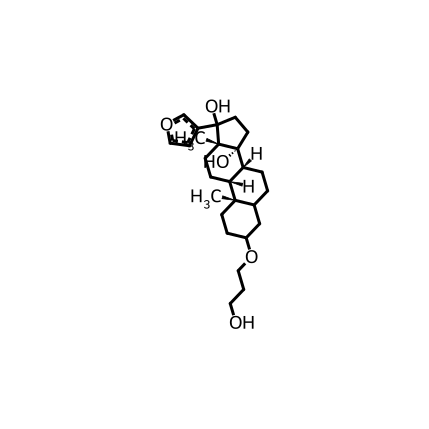 C[C@]12CCC(OCCCO)CC1CC[C@@H]1[C@H]2CC[C@]2(C)C(O)(c3ccoc3)CC[C@@]12O